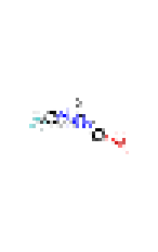 CCC[C@@H]1CN(Cc2cccc(OCC(=O)O)c2)CCN1C1=Nc2ccc(C(F)(F)F)cc2C1